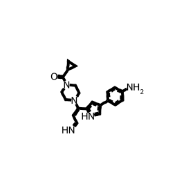 N=C/C=C(\c1cc(-c2ccc(N)cc2)c[nH]1)N1CCN(C(=O)C2CC2)CC1